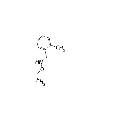 CCONCc1ccccc1C